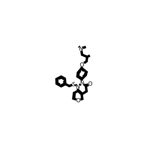 CC(COc1ccc(N2C(=O)CC3=C(C=COC3)N2SCc2ccccc2)cc1)CN(C)C